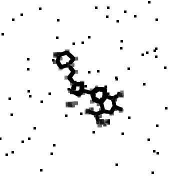 CC(=O)N1c2ccc(-c3cnn(CCN4CCNCC4)c3)cc2C(N(C(=O)O)C(C)C)CC1C.Cl